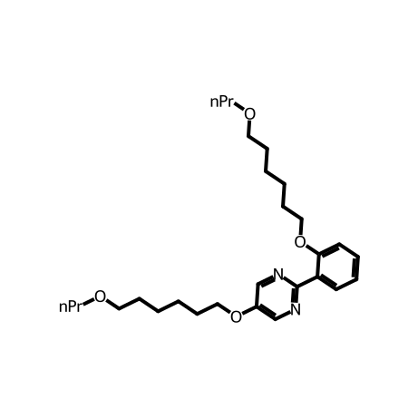 CCCOCCCCCCOc1cnc(-c2ccccc2OCCCCCCOCCC)nc1